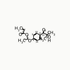 C=CC(=O)OC(C)Oc1ccc(C(=O)C(C)(C)O)cc1